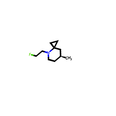 C[C@H]1CCN(CCF)C2(CC2)C1